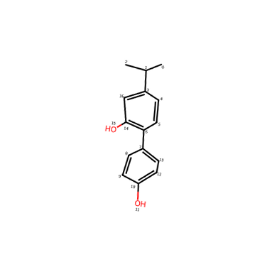 CC(C)c1ccc(-c2ccc(O)cc2)c(O)c1